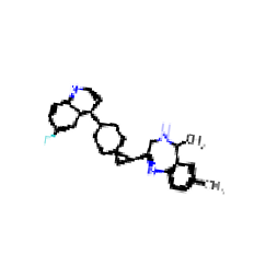 Cc1ccc2c(c1)C(C)NCC(C1CC13CCC(C1C=CN=C4C=CC(F)=CC41)CC3)=N2